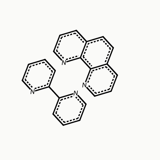 c1ccc(-c2ccccn2)nc1.c1cnc2c(c1)ccc1cccnc12